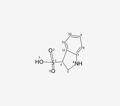 O=S(=O)(O)C1CNc2ccccc21